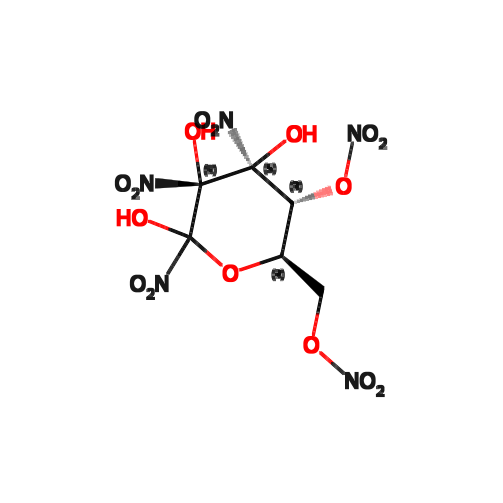 O=[N+]([O-])OC[C@H]1OC(O)([N+](=O)[O-])[C@@](O)([N+](=O)[O-])[C@](O)([N+](=O)[O-])[C@@H]1O[N+](=O)[O-]